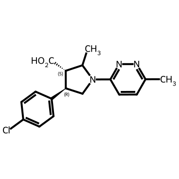 Cc1ccc(N2C[C@@H](c3ccc(Cl)cc3)[C@H](C(=O)O)C2C)nn1